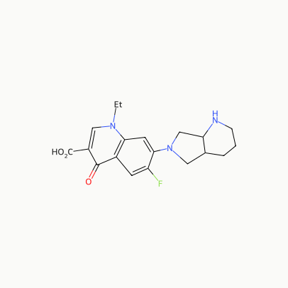 CCn1cc(C(=O)O)c(=O)c2cc(F)c(N3CC4CCCNC4C3)cc21